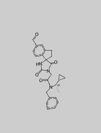 C[C@@H](C1CC1)N(Cc1ccccc1)C(=O)CN1C(=O)NC2(CCc3cc(C=O)ccc32)C1=O